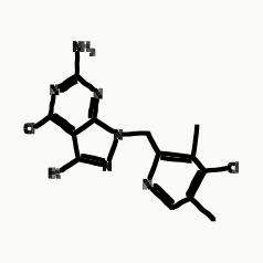 CCc1nn(Cc2ncc(C)c(Cl)c2C)c2nc(N)nc(Cl)c12